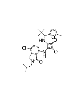 Cc1ccc([C@H](Nc2c(Nc3ccc(Cl)c4c3C(=O)N(CC(C)C)C4)c(=O)c2=O)C(C)(C)C)o1